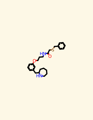 O=C(CSCc1ccccc1)NCCCOc1cccc(CC2CCCCCN2)c1